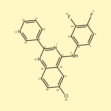 Fc1ccc(Nc2nc(-c3cccnc3)nc3ccc(Cl)cc23)cc1F